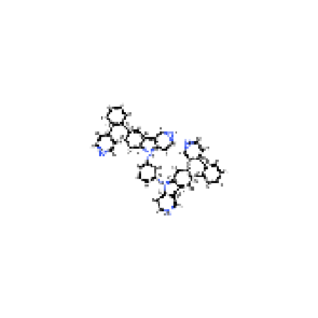 c1cc(-n2c3ccncc3c3cc(-c4ccccc4-c4ccncc4)ccc32)cc(-n2c3ccncc3c3cc(-c4ccccc4-c4ccncc4)ccc32)c1